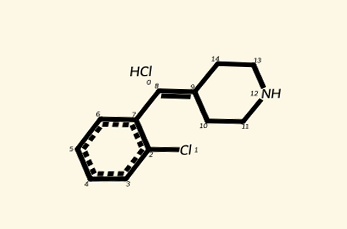 Cl.Clc1ccccc1C=C1CCNCC1